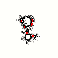 CC[C@H]1OC(=O)[C@H](C)[C@@H](O[C@H]2C[C@@](C)(OC)[C@@H](OC(=O)NCCNC3=C4NC(=O)/C(C)=C\C=C\[C@H](C)[C@H](O)[C@@H](C)[C@@H](O)[C@@H](C)[C@H](OC(C)=O)[C@H](C)[C@@H](OC)/C=C/O[C@@]5(C)Oc6c(C)c(O)c(c(c6C5=O)C3=O)C4=O)[C@H](C)O2)[C@H](C)[C@@H](O[C@@H]2O[C@H](C)C[C@H](N(C)C)[C@H]2O)[C@](C)(OC)C[C@@H](C)C(=O)[C@H](C)[C@@H](O)[C@]1(C)O